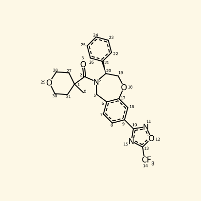 CC1(C(=O)N2Cc3ccc(-c4noc(C(F)(F)F)n4)cc3OC[C@@H]2c2ccccc2)CCOCC1